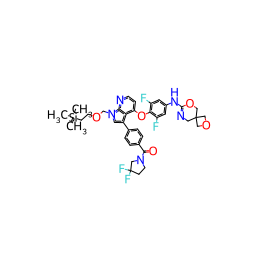 C[Si](C)(C)CCOCn1cc(-c2ccc(C(=O)N3CCC(F)(F)C3)cc2)c2c(Oc3c(F)cc(NC4=NCC5(COC5)CO4)cc3F)ccnc21